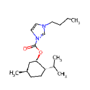 CCCCn1cc[n+](C(=O)O[C@@H]2C[C@H](C)CC[C@H]2C(C)C)c1